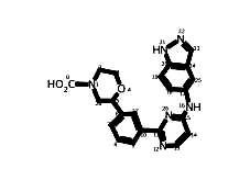 O=C(O)N1CCOC(c2cccc(-c3nccc(Nc4ccc5[nH]ncc5c4)n3)c2)C1